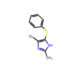 CCc1nc(C)[nH]c1Sc1ccccc1